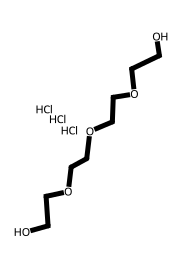 Cl.Cl.Cl.OCCOCCOCCOCCO